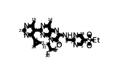 CCS(=O)(=O)c1cnc(CNc2nc3c(C)nc(-c4c(C)ncnc4C4CC4)nc3n([C@@H](C)C(F)F)c2=O)nc1